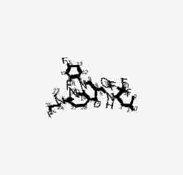 CC(C)CC(NC(=O)c1cn(-c2ccc(F)cc2F)c2nc(N(C)CCF)ccc2c1=O)C(F)(F)F